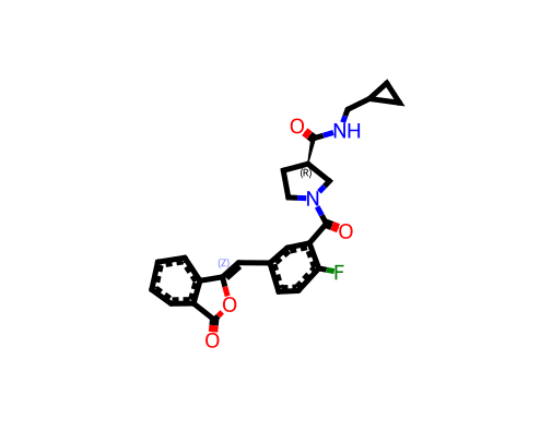 O=C1O/C(=C\c2ccc(F)c(C(=O)N3CC[C@@H](C(=O)NCC4CC4)C3)c2)c2ccccc21